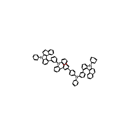 c1ccc(N(c2ccc(-c3cccc(-c4ccccc4N(c4ccccc4)c4cccc(-c5cccc6c5c5c7ccccc7ccc5n6-c5ccccc5)c4)c3)cc2)c2cccc(-c3cccc4c3c3c5ccccc5ccc3n4-c3ccccc3)c2)cc1